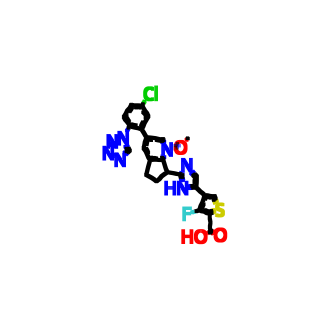 CO[n+]1cc(-c2cc(Cl)ccc2-n2cnnn2)cc2c1C(c1ncc(-c3csc(C(=O)O)c3F)[nH]1)CC2